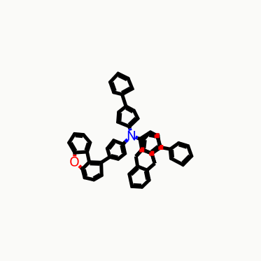 c1ccc(-c2ccc(N(c3ccc(-c4cccc5oc6ccccc6c45)cc3)c3ccc(-c4ccccc4)c4c3C3c5ccccc5C4c4ccccc43)cc2)cc1